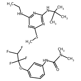 CCNc1nc(NC(C)(C)C)nc(SC)n1.CN(C)C(=O)Nc1cccc(OC(F)(F)C(F)F)c1